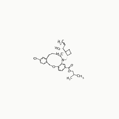 C=C[C@@H](O)[C@@]1(C)CC[C@@H]1CN1CCCCc2cc(Cl)ccc2COc2ccc(C(=O)OCC(C)C)cc21